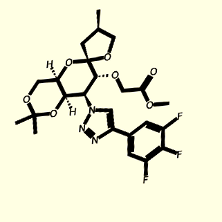 COC(=O)CO[C@@H]1[C@@H](n2cc(-c3cc(F)c(F)c(F)c3)nn2)[C@H]2OC(C)(C)OC[C@H]2O[C@@]12C[C@@H](C)CO2